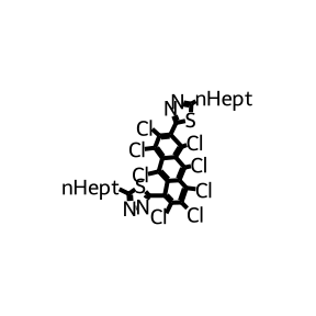 CCCCCCCc1nnc(-c2c(Cl)c(Cl)c3c(Cl)c4c(-c5nnc(CCCCCCC)s5)c(Cl)c(Cl)c(Cl)c4c(Cl)c3c2Cl)s1